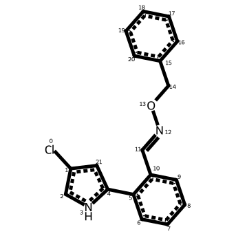 Clc1c[nH]c(-c2ccccc2C=NOCc2ccccc2)c1